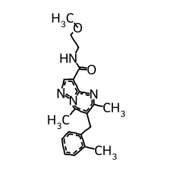 COCCNC(=O)c1cnn2c(C)c(Cc3ccccc3C)c(C)nc12